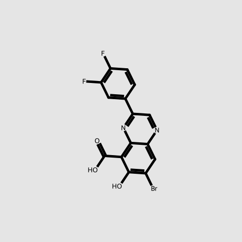 O=C(O)c1c(O)c(Br)cc2ncc(-c3ccc(F)c(F)c3)nc12